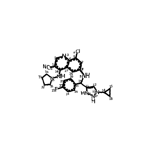 N#Cc1cnc2c(Cl)cc(NC(C3=CN(C4CC4)NN3)c3ccc(F)cc3)cc2c1NN1CCCC1